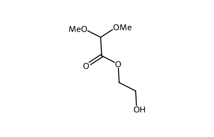 COC(OC)C(=O)OCCO